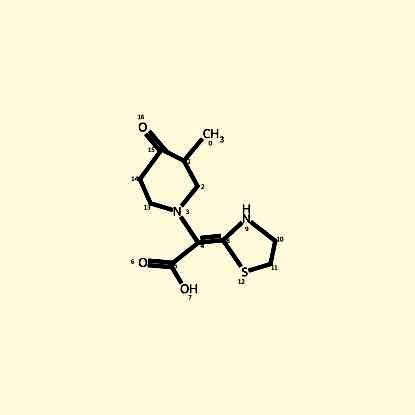 CC1CN(C(C(=O)O)=C2NCCS2)CCC1=O